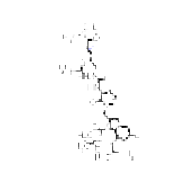 COC(=O)N[C@@H](CC/C=C/C(=O)N(C)C)C(=O)Nc1cccn(Cc2cc3cc(F)cc(CC(C)C)c3n2C(=O)OC(C)(C)C)c1=O